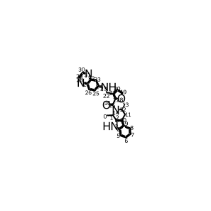 CC1c2[nH]c3ccccc3c2C[C@H](C)N1C(=O)c1occc1CNc1ccc2nccnc2c1